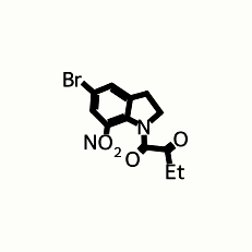 CCC(=O)C(=O)N1CCc2cc(Br)cc([N+](=O)[O-])c21